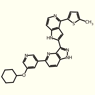 Cc1ccc(-c2nccc3[nH]c(-c4n[nH]c5ccc(-c6cncc(OC7CCCCC7)c6)nc45)cc23)s1